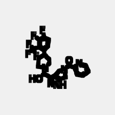 O=C(c1ccccn1)N1Cc2[nH]nc(C(O)N3CCC(c4ccc(F)c(F)c4C(F)(F)F)CC3)c2C1